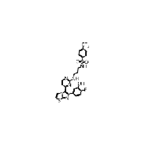 O=S(=O)(NCCCNc1nccc(-c2c(-c3ccc(F)c(O)c3)nc3sccn23)n1)c1ccc(C(F)(F)F)cc1